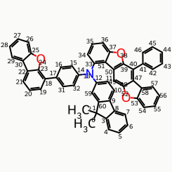 CC1(C)c2ccccc2-c2ccc(N(c3ccc(-c4cccc5c4oc4ccccc45)cc3)c3cccc4oc5c(-c6ccccc6)c6c(cc5c34)oc3ccccc36)cc21